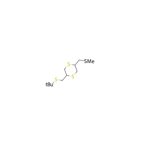 CSCC1CSC(CSC(C)(C)C)CS1